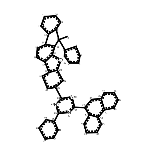 CC1(c2ccccc2)c2ccccc2-c2ccc3c(oc4cc(-c5nc(-c6ccccc6)nc(-c6cc7ccccc7c7ccccc67)n5)ccc43)c21